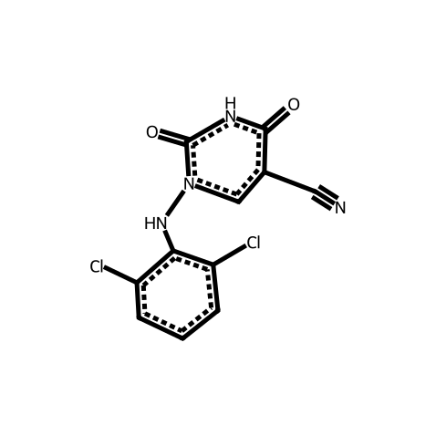 N#Cc1cn(Nc2c(Cl)cccc2Cl)c(=O)[nH]c1=O